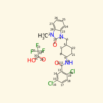 Cn1c(=O)n(CC2CCC(NC(=O)c3cc(Cl)ccc3Cl)CC2)c2ccccc21.O=C(O)C(F)(F)F